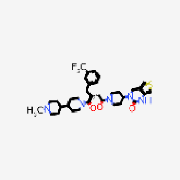 CN1CCC(C2CCN(C(=O)[C@@H](CC(=O)N3CCC(N4Cc5cscc5NC4=O)CC3)Cc3cccc(C(F)(F)F)c3)CC2)CC1